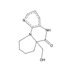 O=C1Nc2cccnc2N2CCCCC12CO